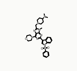 CN(C)C1CCN(Cc2nc3c(N4CCOCC4)nc(-c4cn(S(=O)(=O)c5ccccc5)c5ccccc45)nc3n2C)CC1